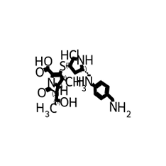 C[C@@H](O)[C@H]1C(=O)N2C(C(=O)O)=C(S[C@@H]3CN[C@H](CNc4ccc(CN)cc4)C3)[C@H](C)[C@H]12.Cl